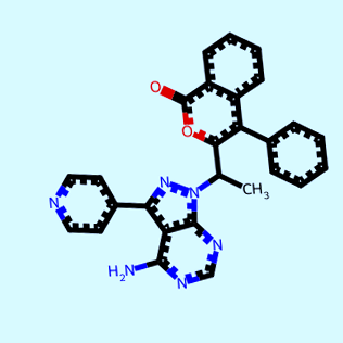 CC(c1oc(=O)c2ccccc2c1-c1ccccc1)n1nc(-c2ccncc2)c2c(N)ncnc21